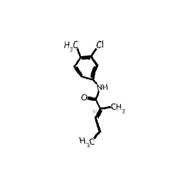 CC/C=C(\C)C(=O)Nc1ccc(C)c(Cl)c1